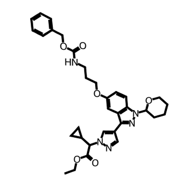 CCOC(=O)C(C1CC1)n1cc(-c2nn(C3CCCCO3)c3ccc(OCCCNC(=O)OCc4ccccc4)cc23)cn1